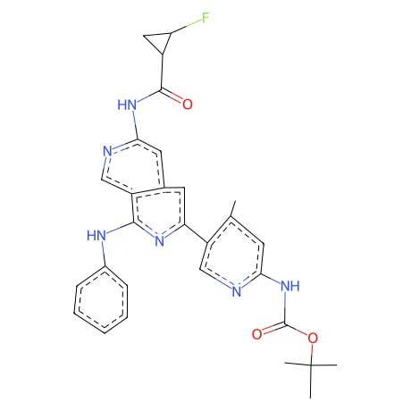 Cc1cc(NC(=O)OC(C)(C)C)ncc1-c1cc2cc(NC(=O)C3CC3F)ncc2c(Nc2ccccc2)n1